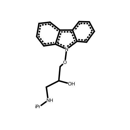 CC(C)NCC(O)COn1c2ccccc2c2ccccc21